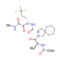 COC(=O)N[C@H](C(=O)N1CC2(CCCCC2)C[C@H]1C(=O)N[C@@H](CCC(C)(F)F)C(=O)C(=O)NC(C)(C)C)C(C)(C)C